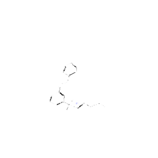 CCC/C=C/C(C)(C)c1cccc(OCc2ccccc2)c1